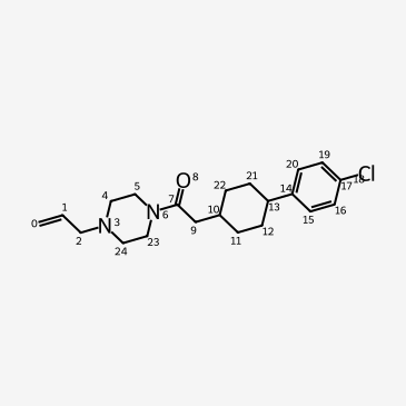 C=CCN1CCN(C(=O)CC2CCC(c3ccc(Cl)cc3)CC2)CC1